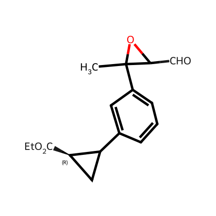 CCOC(=O)[C@@H]1CC1c1cccc(C2(C)OC2C=O)c1